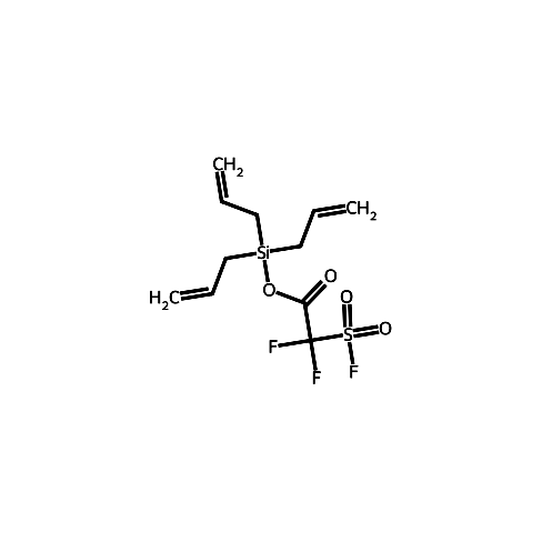 C=CC[Si](CC=C)(CC=C)OC(=O)C(F)(F)S(=O)(=O)F